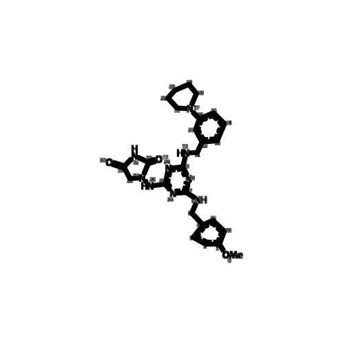 COc1ccc(CNc2nc(NCc3cccc(N4CCCCC4)c3)nc(NN3CC(=O)NC3=O)n2)cc1